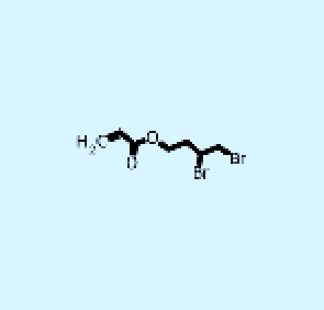 C=CC(=O)OCCC(Br)CBr